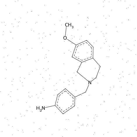 COc1ccc2c(c1)CN(Cc1ccc(N)cc1)CC2